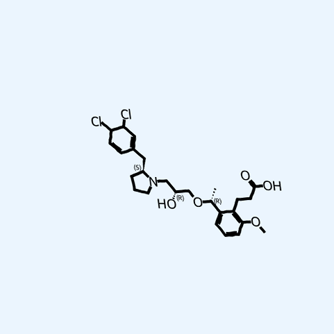 COc1cccc([C@@H](C)OC[C@H](O)CN2CCC[C@H]2CC2=CC(Cl)C(Cl)C=C2)c1CCC(=O)O